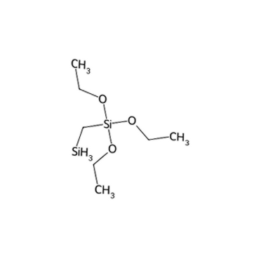 CCO[Si](C[SiH3])(OCC)OCC